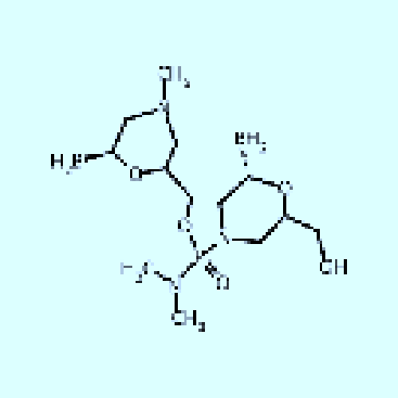 B[C@H]1CN(C)CC(COP(=O)(N(C)C)N2CC(CO)O[C@@H](B)C2)O1